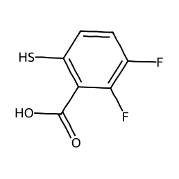 O=C(O)c1c(S)ccc(F)c1F